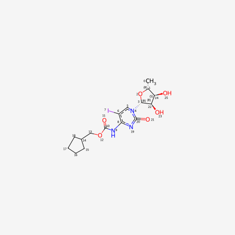 C[C@H]1O[C@@H](n2cc(I)c(NC(=O)OCC3CCCC3)nc2=O)[C@H](O)[C@@H]1O